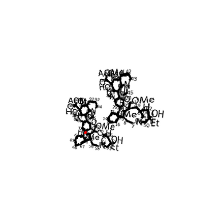 CC[C@]1(O)C[C@@H]2C[N@@](CCc3c([nH]c4ccccc34)[C@@](C(=O)OC)(c3cc4c(cc3OC)N(C)[C@H]3[C@@](O)(C(=O)OC)[C@H](OC(C)=O)[C@]5(CC)C=CCN6CC[C@]43[C@@H]65)C2)C1.CC[C@]1(O)C[C@@H]2C[N@@](CCc3c([nH]c4ccccc34)[C@@](C(=O)OC)(c3cc4c(cc3OC)N(C)[C@H]3[C@@](O)(C(=O)OC)[C@H](OC(C)=O)[C@]5(CC)C=CCN6CC[C@]43[C@@H]65)C2)C1